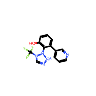 Oc1cccc(-c2cccnc2)c1N1NN=CN1C(F)(F)F